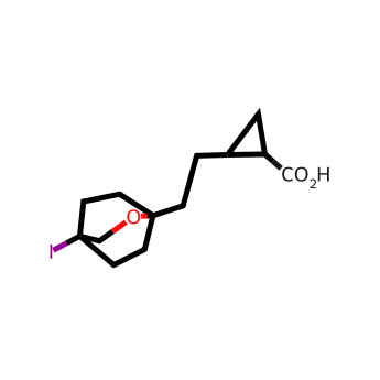 O=C(O)C1CC1CCC12CCC(I)(CC1)CO2